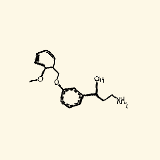 COC1C=CC=CC1COc1cccc(C(O)CCN)c1